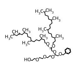 CC(C)CCCC(C)CCCC(C)CCCC(C)CCOC[C@@H](COC(COCc1ccccc1)OCCOCCOCCO)OCCC(C)CCCC(C)CCCC(C)CCCC(C)C